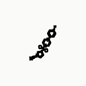 N#CN1CCC(S(=O)(=O)N2CCN(c3ccc(F)cc3)CC2)C1